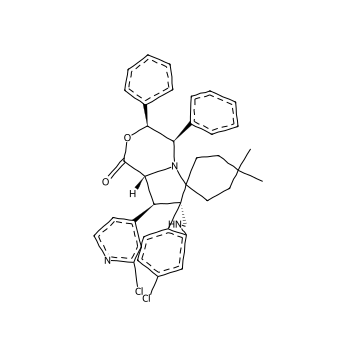 CC1(C)CCC2(CC1)N1[C@H](c3ccccc3)[C@H](c3ccccc3)OC(=O)[C@H]1[C@H](c1ccnc(Cl)c1)[C@@]21CNc2cc(Cl)ccc21